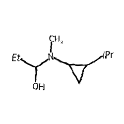 CCC(O)N(C)C1CC1C(C)C